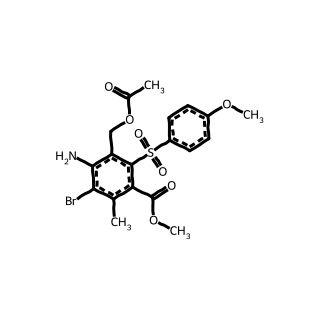 COC(=O)c1c(C)c(Br)c(N)c(COC(C)=O)c1S(=O)(=O)c1ccc(OC)cc1